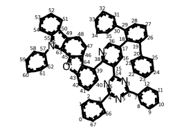 c1ccc(-c2nc(-c3ccccc3)nc(-c3cc(-c4c(-c5ccccc5)cccc4-c4ccccc4)cnc3-c3cccc4oc5c(ccc6c7ccccc7n(-c7ccccc7)c65)c34)n2)cc1